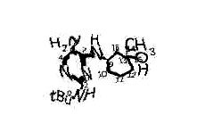 CC(C)(C)Nc1ncc(N)c(N[C@@H]2CCC[C@](C)(O)C2)n1